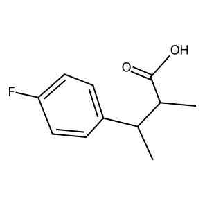 CC(C(=O)O)C(C)c1ccc(F)cc1